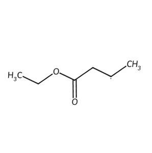 C[CH]CC(=O)OCC